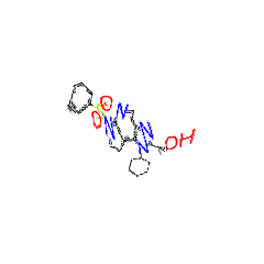 C[C@@H](O)c1nc2cnc3c(ccn3S(=O)(=O)c3ccccc3)c2n1C1CCCCC1